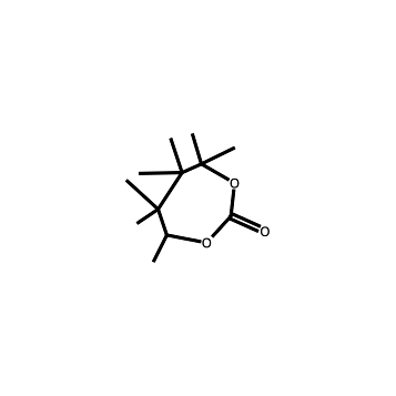 CC1OC(=O)OC(C)(C)C(C)(C)C1(C)C